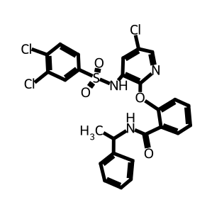 CC(NC(=O)c1ccccc1Oc1ncc(Cl)cc1NS(=O)(=O)c1ccc(Cl)c(Cl)c1)c1ccccc1